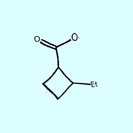 CCC1CCC1C([O])=O